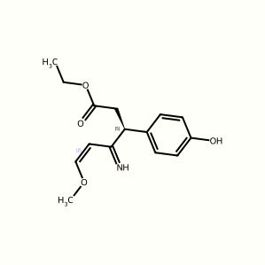 CCOC(=O)C[C@H](C(=N)/C=C\OC)c1ccc(O)cc1